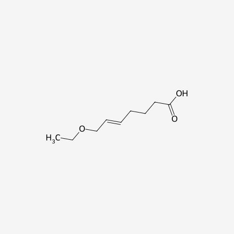 CCOC/C=C/CCCC(=O)O